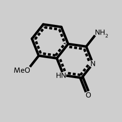 COc1cccc2c(N)nc(=O)[nH]c12